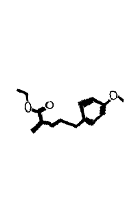 C=C(CCCc1ccc(OC)cc1)C(=O)OCC